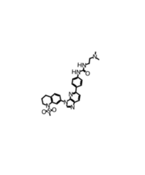 CN(C)CCNC(=O)Nc1ccc(-c2ccc3ncn(-c4ccc5c(c4)N(S(C)(=O)=O)CCC5)c3n2)cc1